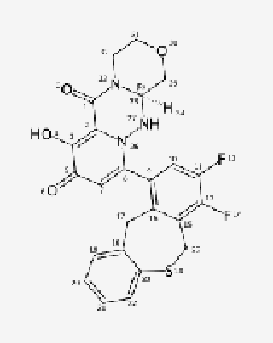 O=C1c2c(O)c(=O)cc(-c3cc(F)c(F)c4c3Cc3ccccc3SC4)n2N[C@@H]2COCCN12